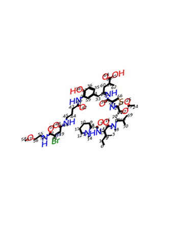 CC[C@H](C)[C@H](NC(=O)[C@H]1CCCCN1C)C(=O)N(C)[C@H](C[C@@H](OC(C)=O)c1nc(C(=O)N[C@@H](Cc2ccc(O)c(NC(=O)CCCNC(=O)/C=C(/Br)C(=O)NCCOC)c2)CC(C)C(=O)O)cs1)C(C)C